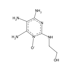 Nc1nc(NCCO)[n+]([O-])c(N)c1N